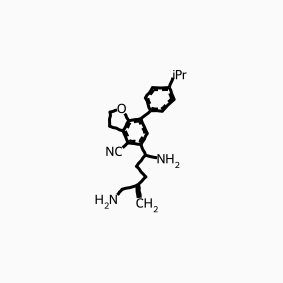 C=C(CN)CCC(N)c1cc(-c2ccc(C(C)C)cc2)c2c(c1C#N)CCO2